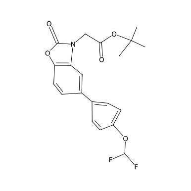 CC(C)(C)OC(=O)Cn1c(=O)oc2ccc(-c3ccc(OC(F)F)cc3)cc21